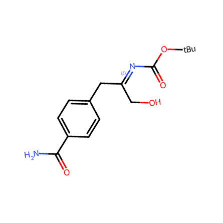 CC(C)(C)OC(=O)/N=C(\CO)Cc1ccc(C(N)=O)cc1